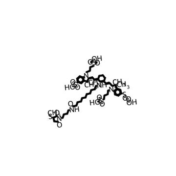 CSC1CC(=O)N(CCCCNC(=O)CCCCCCCCCCNC2=C(/C=C/C3=[N+](CCCCS(=O)(=O)O)c4ccc(SOOO)cc4C3(C)C)CCC/C2=C\C=C2\N(CCCCS(=O)(=O)O)c3ccc(S(=O)(=O)O)cc3C2(C)C)C1=O